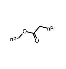 C[CH]COC(=O)CCCC